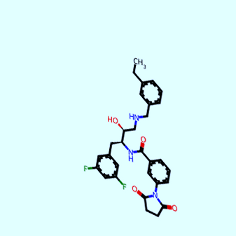 CCc1cccc(CNC[C@H](O)[C@H](Cc2cc(F)cc(F)c2)NC(=O)c2cccc(N3C(=O)CCC3=O)c2)c1